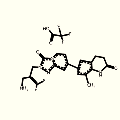 Cc1cc(-c2ccn3c(=O)n(CC(CN)=C(F)F)nc3c2)cc2c1NC(=O)CC2.O=C(O)C(F)(F)F